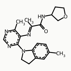 C/C(=N\c1c(C)ncnc1N1CCc2cc(C)ccc21)C(=O)NC1CCOC1